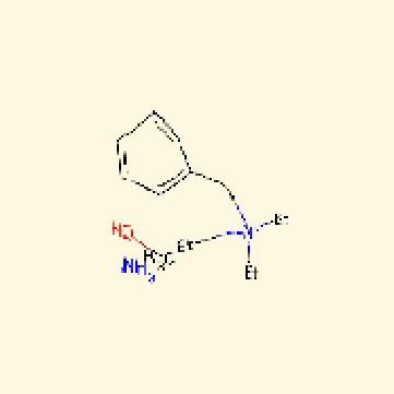 CC[N+](CC)(CC)Cc1ccccc1.CO.N